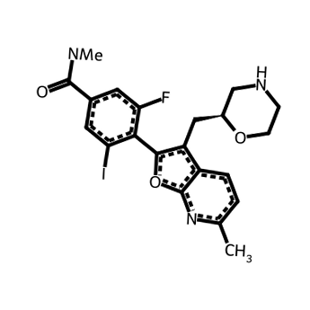 CNC(=O)c1cc(F)c(-c2oc3nc(C)ccc3c2C[C@H]2CNCCO2)c(I)c1